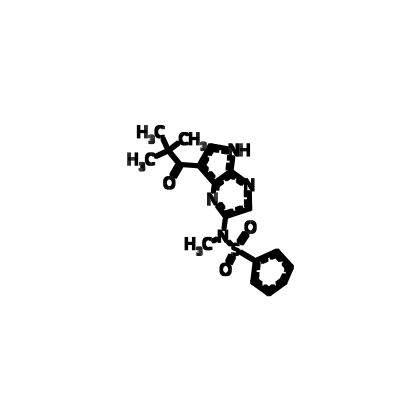 CN(c1cnc2[nH]cc(C(=O)C(C)(C)C)c2n1)S(=O)(=O)c1ccccc1